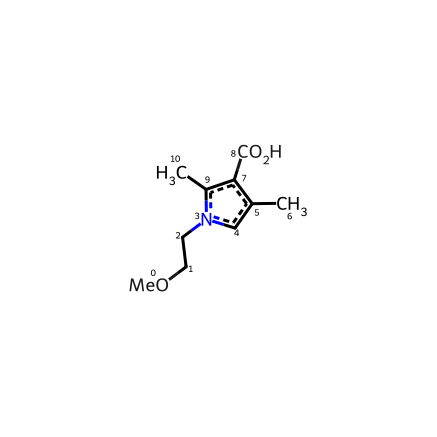 COCCn1cc(C)c(C(=O)O)c1C